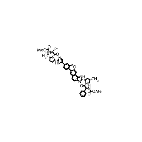 COC(=O)N[C@H](C(=O)N1[C@@H](C)CC[C@H]1c1ncc(-c2ccc3c(c2)COc2cc4c(ccc5nc([C@@H]6C[C@H](C)CN6C(=O)[C@H](NC(=O)OC)c6ccccc6)[nH]c54)cc2-3)[nH]1)C(C)C